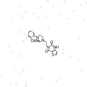 COc1ccccc1N1CCN(CCn2c(=O)[nH]c3ccsc3c2=O)CC1